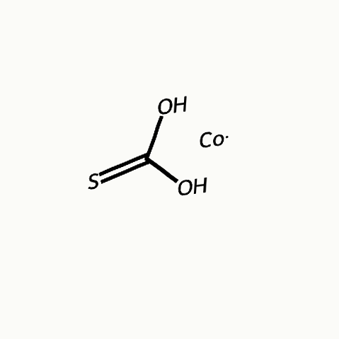 OC(O)=S.[Co]